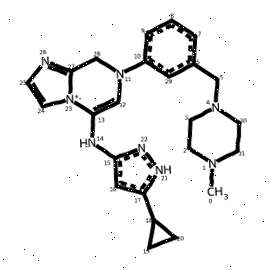 CN1CCN(Cc2cccc(N3C=C(Nc4cc(C5CC5)[nH]n4)[N+]4C=CN=C4C3)c2)CC1